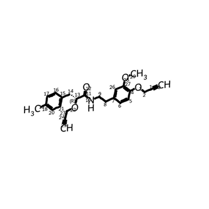 C#CCOc1ccc(CCNC(=O)[C@@H](Cc2ccc(C)cc2)OCC#C)cc1OC